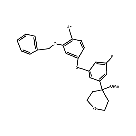 COC1(c2cc(F)cc(Sc3ccc(C(C)=O)c(OCc4ccccc4)c3)c2)CCOCC1